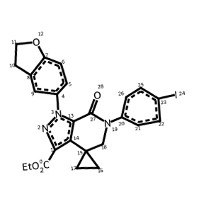 CCOC(=O)c1nn(-c2ccc3c(c2)CCO3)c2c1C1(CC1)CN(c1ccc(I)cc1)C2=O